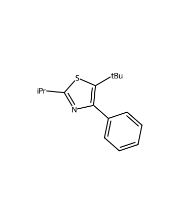 CC(C)c1nc(-c2ccccc2)c(C(C)(C)C)s1